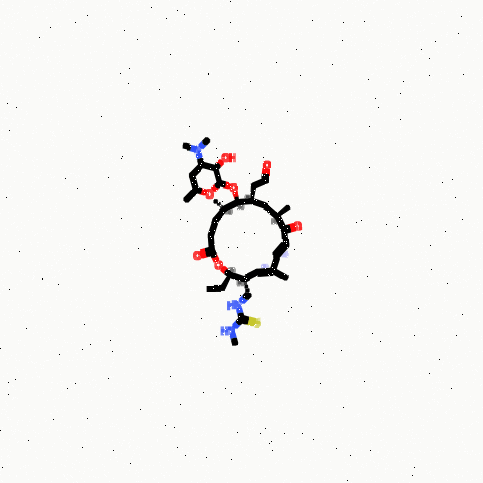 CC[C@H]1OC(=O)CC[C@H](C)[C@@H](OC2OC(C)CC(N(C)C)C2O)[C@@H](CC=O)C[C@@H](C)C(=O)/C=C/C(C)=C/[C@@H]1CNC(=S)NC